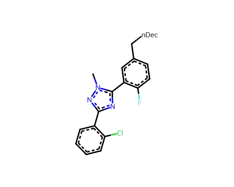 CCCCCCCCCCCc1ccc(F)c(-c2nc(-c3ccccc3Cl)nn2C)c1